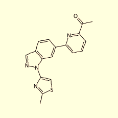 CC(=O)c1cccc(-c2ccc3cnn(-c4csc(C)n4)c3c2)n1